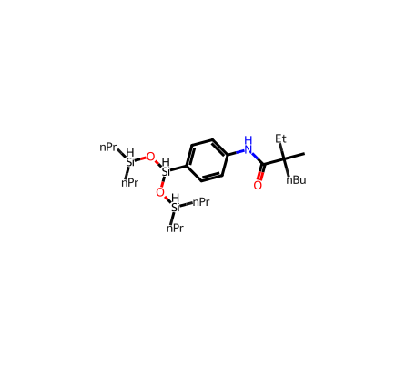 CCCCC(C)(CC)C(=O)Nc1ccc([SiH](O[SiH](CCC)CCC)O[SiH](CCC)CCC)cc1